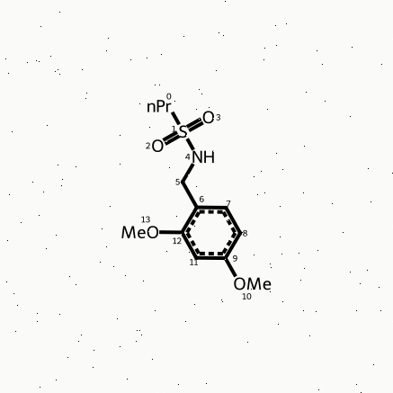 CCCS(=O)(=O)NCc1ccc(OC)cc1OC